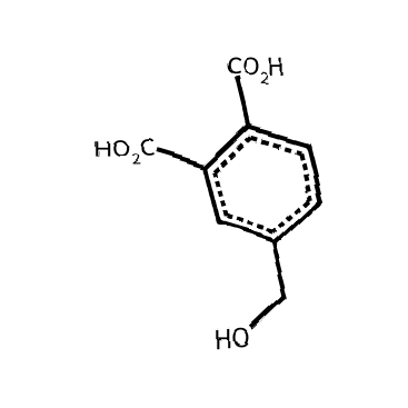 O=C(O)c1ccc(CO)cc1C(=O)O